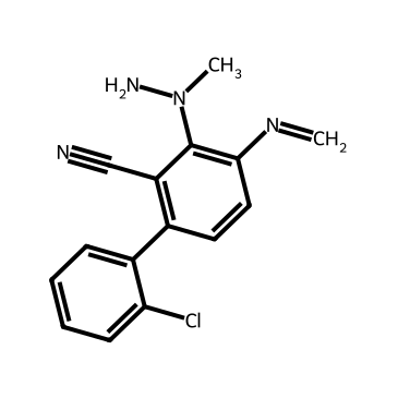 C=Nc1ccc(-c2ccccc2Cl)c(C#N)c1N(C)N